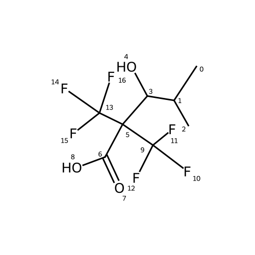 CC(C)C(O)C(C(=O)O)(C(F)(F)F)C(F)(F)F